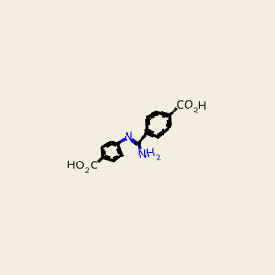 NC(=Nc1ccc(C(=O)O)cc1)c1ccc(C(=O)O)cc1